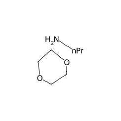 C1COCCO1.CCCN